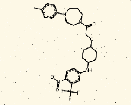 Cc1ccc(N2CCCN(C(=O)COC3CCC(Nc4ccc([N+](=O)[O-])c(C(F)(F)F)c4)CC3)CC2)cc1